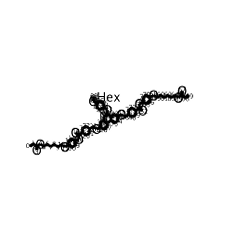 C=CC(=O)OCCCCCCOc1ccc(OC(=O)C2CCC(COc3ccc4c(c3)nc(Oc3ccc(OCCCCCC)cc3)c3cc(OCC5CCC(C(=O)Oc6ccc(OCCCCCCOC(=O)C=C)cc6)CC5)ccc34)CC2)cc1